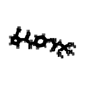 CC(C)(C)OC(=O)Nc1ccc(NC(=O)c2sccc2Br)cc1